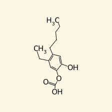 CCCCCc1cc(O)c(OC(=O)O)cc1CC